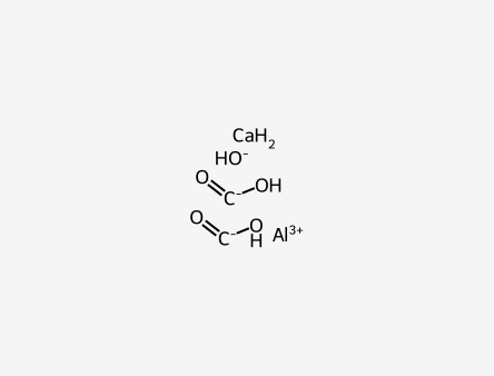 O=[C-]O.O=[C-]O.[Al+3].[CaH2].[OH-]